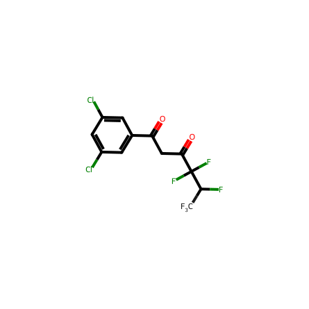 O=C(CC(=O)C(F)(F)C(F)C(F)(F)F)c1cc(Cl)cc(Cl)c1